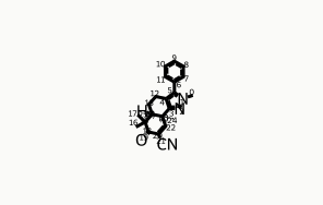 Cn1nc2c(c1-c1ccccc1)CC[C@H]1C(C)(C)C(=O)C(C#N)=C[C@]21C